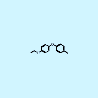 CCOc1ccc(Oc2ccc(C)cc2)cc1